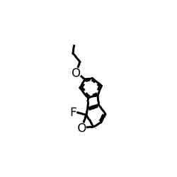 CCCOc1ccc2c(c1)C1=C2C=CC2OC12F